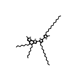 CCCCCCCCCCCCc1cc(-c2cc(CCCCCCCCCCCC)c(-c3cc4c(CCCCCCC)c(CCCCCCC)c5cc(C)sc5c4s3)s2)sc1C